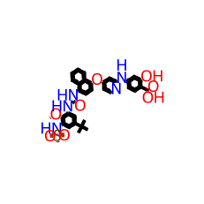 COc1c(NC(=O)Nc2ccc(Oc3ccnc(Nc4ccc(C(=O)O)c(O)c4)c3)c3ccccc23)cc(C(C)(C)C)cc1NS(C)(=O)=O